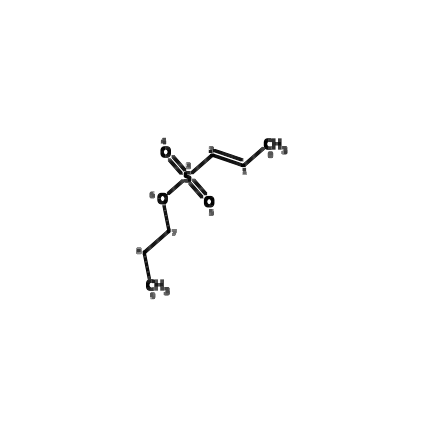 CC=CS(=O)(=O)OCCC